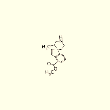 COC(=O)c1cccc2c1C=C[C@@]21CCNC[C@@H]1C